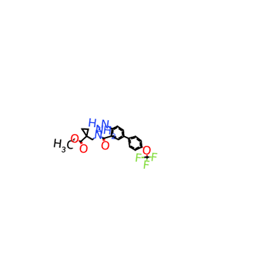 COC(=O)C1(CN(N)C(=O)c2cc(-c3ccc(OC(F)(F)F)cc3)ccc2N)CC1